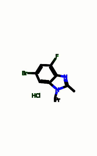 Cc1nc2c(F)cc(Br)cc2n1C(C)C.Cl